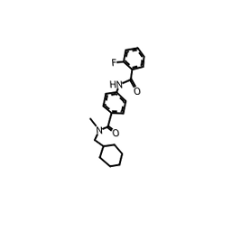 CN(CC1CCCCC1)C(=O)c1ccc(NC(=O)c2ccccc2F)cc1